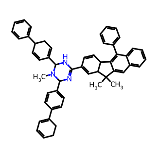 CN1C(C2=CCC(c3ccccc3)C=C2)NC(C2=CC3C(C=C2)c2c(cc4ccccc4c2-c2ccccc2)C3(C)C)=NC1c1ccc(C2=CC=CCC2)cc1